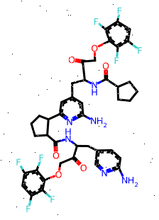 Nc1ccc(CC(NC(=O)C2CCCC2c2cc(CC(NC(=O)C3CCCC3)C(=O)COc3c(F)c(F)cc(F)c3F)cc(N)n2)C(=O)COc2c(F)c(F)cc(F)c2F)cn1